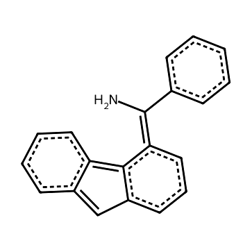 NC(c1ccccc1)=c1cccc2c1=c1ccccc1=C2